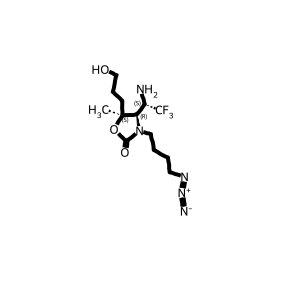 C[C@@]1(CCCO)OC(=O)N(CCCCN=[N+]=[N-])[C@@H]1[C@H](N)C(F)(F)F